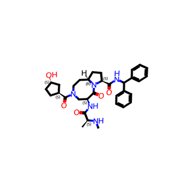 CN[C@@H](C)C(=O)N[C@H]1CN(C(=O)[C@H]2CC[C@H](O)C2)CC[C@H]2CC[C@@H](C(=O)NC(c3ccccc3)c3ccccc3)N2C1=O